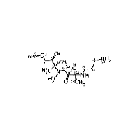 CCCOCC(=O)C(C)(C)N(C)CC(=O)C(C)(C)NCCCN